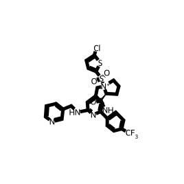 NC(=O)[C@@H]1CCC[N+]1(Cc1cc(NCc2cccnc2)nc(-c2ccc(C(F)(F)F)cc2)c1)S(=O)(=O)c1ccc(Cl)s1